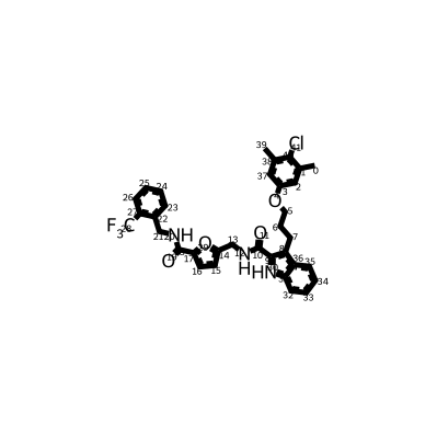 Cc1cc(OCCCc2c(C(=O)NCc3ccc(C(=O)NCc4ccccc4C(F)(F)F)o3)[nH]c3ccccc23)cc(C)c1Cl